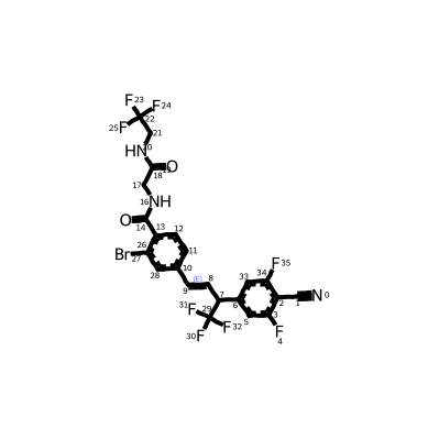 N#Cc1c(F)cc(C(/C=C/c2ccc(C(=O)NCC(=O)NCC(F)(F)F)c(Br)c2)C(F)(F)F)cc1F